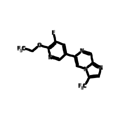 Fc1cc(-c2cn3c(C(F)(F)F)cnc3cn2)cnc1OCC(F)(F)F